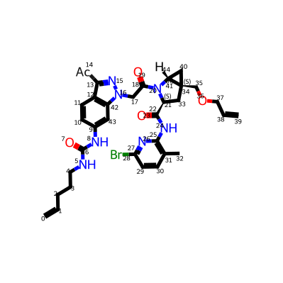 C=CCCCNC(=O)Nc1ccc2c(C(C)=O)nn(CC(=O)N3[C@H](C(=O)Nc4nc(Br)ccc4C)C[C@@]4(COCC=C)C[C@@H]34)c2c1